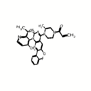 C=CC(=O)N1CCN(C2=NC(O)N(c3c(C)ccnc3C(C)C)c3nc(-c4ccccc4F)c(Cl)cc32)[C@@H](C)C1